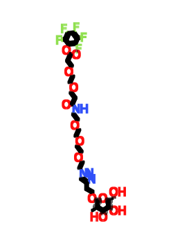 C[C@H]1[C@H](OCCc2cn(CCOCCOCCOCCNC(=O)CCOCCOCCC(=O)Oc3c(F)c(F)c(F)c(F)c3F)nn2)O[C@H](CO)[C@H](O)[C@@H]1O